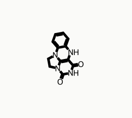 O=c1[nH]c(=O)n2c3c1Nc1ccccc1N3CC2